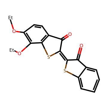 CCOc1ccc2c(c1OCC)SC(=C1Sc3ccccc3C1=O)C2=O